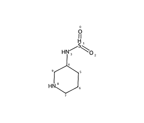 O=[SH](=O)NC1CCCNC1